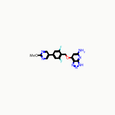 COc1ncc(-c2cc(F)c(COc3cc(N)nc4[nH]nnc34)c(F)c2)cn1